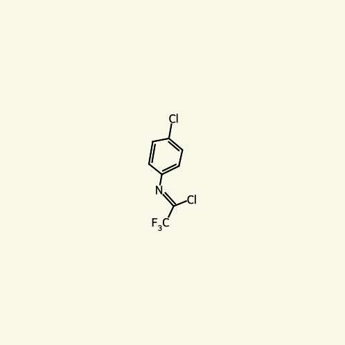 FC(F)(F)/C(Cl)=N/c1ccc(Cl)cc1